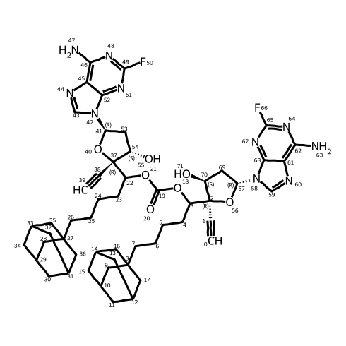 C#C[C@@]1(C(CCCCC23CC4CC(CC(C4)C2)C3)OC(=O)OC(CCCCC23CC4CC(CC(C4)C2)C3)[C@]2(C#C)O[C@@H](n3cnc4c(N)nc(F)nc43)C[C@@H]2O)O[C@@H](n2cnc3c(N)nc(F)nc32)C[C@@H]1O